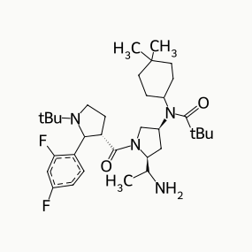 CC(N)[C@@H]1C[C@H](N(C(=O)C(C)(C)C)C2CCC(C)(C)CC2)CN1C(=O)[C@H]1CCN(C(C)(C)C)C1c1ccc(F)cc1F